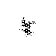 CNC(=O)N1CCN(c2cc(OC)cc3c2cc(C)c(=O)n3C)c2cc(C#N)c(-c3cnn(C)c3)cc21